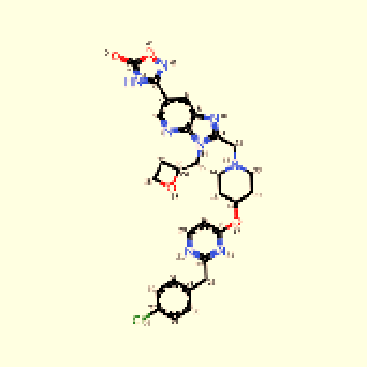 O=c1[nH]c(-c2cnc3c(c2)nc(CN2CCC(Oc4ccnc(Cc5ccc(Cl)cc5)n4)CC2)n3C[C@@H]2CCO2)no1